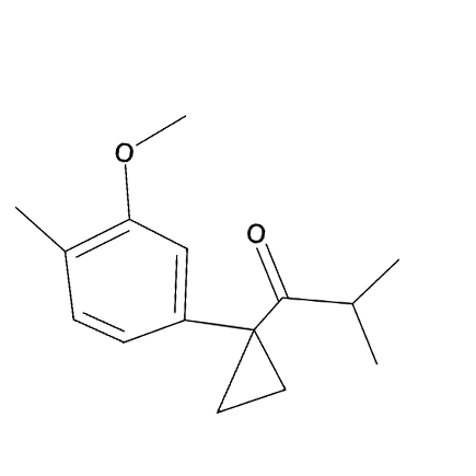 COc1cc(C2(C(=O)C(C)C)CC2)ccc1C